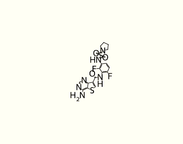 Nc1ncnc2c(C(=O)Nc3c(F)ccc(NS(=O)(=O)N4CCCC4)c3F)csc12